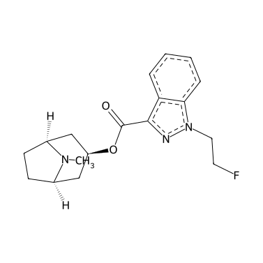 CN1[C@@H]2CC[C@H]1C[C@@H](OC(=O)c1nn(CCF)c3ccccc13)C2